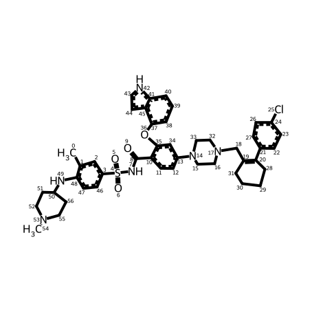 Cc1cc(S(=O)(=O)NC(=O)c2ccc(N3CCN(CC4=C(c5ccc(Cl)cc5)CCCC4)CC3)cc2Oc2cccc3[nH]ccc23)ccc1NC1CCN(C)CC1